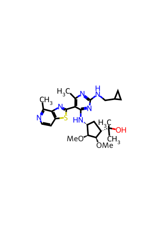 CO[C@@H]1[C@H](OC)[C@@H](C(C)(C)O)C[C@H]1Nc1nc(NCC2CC2)nc(C)c1-c1nc2c(C)nccc2s1